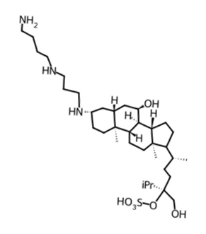 CC(C)[C@@](CO)(CC[C@@H](C)C1CC[C@H]2[C@@H]3[C@H](O)C[C@H]4C[C@@H](NCCCNCCCCN)CC[C@]4(C)[C@H]3CC[C@]12C)OS(=O)(=O)O